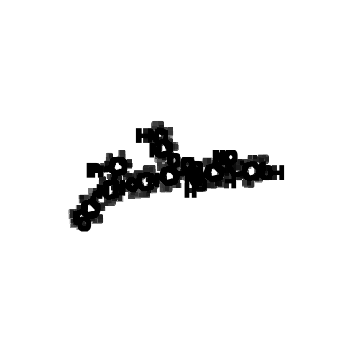 CC(C)c1ccccc1C1CN(Cc2ccc3occc3c2)CCN1C1CC2(CCN(c3ccc(C(=O)NS(=O)(=O)c4ccc(NCC5CCC(C)(O)CC5)c([N+](=O)[O-])c4)c(Oc4cnc5[nH]ccc5c4)c3)CC2)C1